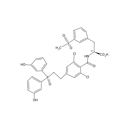 CS(=O)(=O)c1cccc(C[C@H](NC(=O)c2c(Cl)cc(CCP(=O)(c3cccc(O)c3)c3cccc(O)c3)cc2Cl)C(=O)O)c1